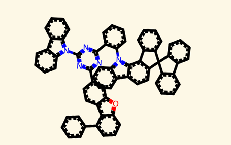 c1ccc(-c2cccc3oc4cc(-c5nc(-c6ccccc6-n6c7ccccc7c7ccc8c(c76)-c6ccccc6C86c7ccccc7-c7ccccc76)nc(-n6c7ccccc7c7ccccc76)n5)ccc4c23)cc1